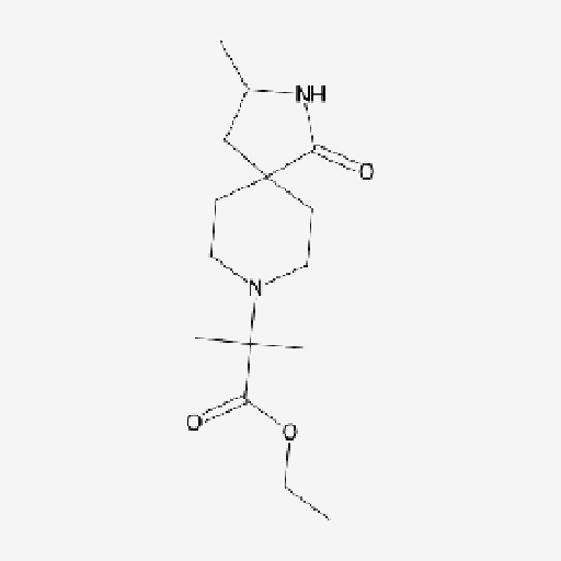 CCOC(=O)C(C)(C)N1CCC2(CC1)CC(C)NC2=O